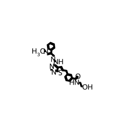 Cn1cc(C=NNc2ncnc3sc(Cc4cccc(C(=O)NCCO)c4)cc23)c2ccccc21